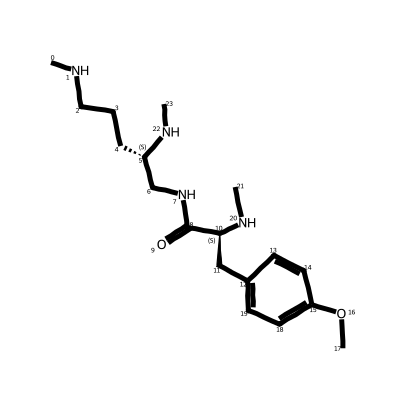 CNCCC[C@@H](CNC(=O)[C@H](Cc1ccc(OC)cc1)NC)NC